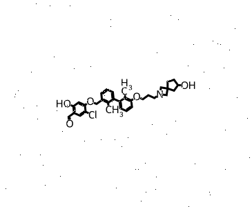 Cc1c(COc2cc(O)c(C=O)cc2Cl)cccc1-c1cccc(OCCCN2CC3(CCC(O)C3)C2)c1C